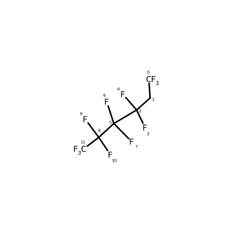 FC(F)(F)CC(F)(F)C(F)(F)C(F)(F)C(F)(F)F